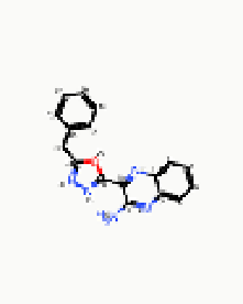 Nc1nc2ccccc2nc1-c1nnc(Cc2ccccc2)o1